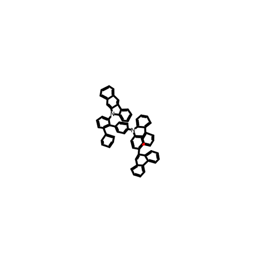 c1ccc(-c2ccccc2N(c2ccc(-c3c(-c4ccccc4)cccc3-n3c4ccccc4c4cc5ccccc5cc43)cc2)c2ccc(-c3cc4ccccc4c4ccccc34)cc2)cc1